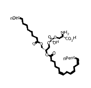 CCCCC/C=C\C/C=C\C/C=C\CCCCC(=O)O[C@H](COC(=O)CCCCCCCCCCCCCCCCC)COP(=O)(O)OC[C@H](N)C(=O)O